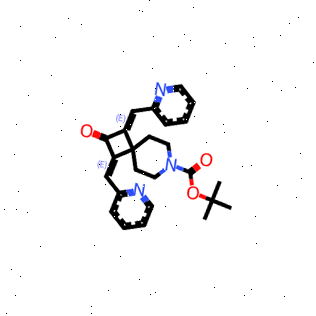 CC(C)(C)OC(=O)N1CCC2(CC1)/C(=C\c1ccccn1)C(=O)/C2=C/c1ccccn1